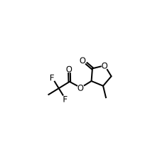 CC1COC(=O)C1OC(=O)C(C)(F)F